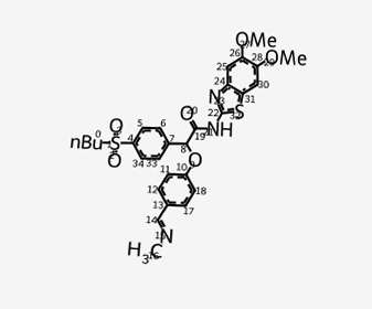 CCCCS(=O)(=O)c1ccc(C(Oc2ccc(/C=N/C)cc2)C(=O)Nc2nc3cc(OC)c(OC)cc3s2)cc1